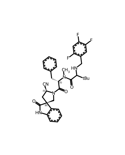 CN(C(=O)C(NCc1cc(F)c(F)cc1F)C(C)(C)C)[C@@H](Cc1ccccc1)C(=O)N1C[C@]2(C[C@H]1C#N)C(=O)Nc1ccccc12